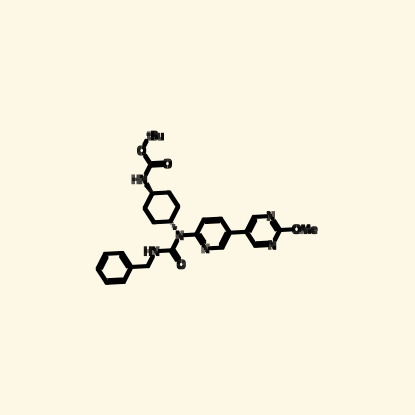 COc1ncc(-c2ccc(N(C(=O)NCc3ccccc3)[C@H]3CC[C@H](NC(=O)OC(C)(C)C)CC3)nc2)cn1